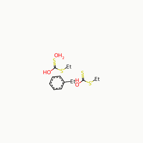 CCSC(O)=S.CCSC(O)=S.CCc1ccccc1.O